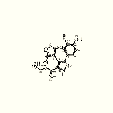 Cc1noc(C)c1-c1c(-c2ccc(O)c(F)c2)n[nH]c1C(=N)NCO